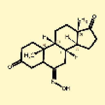 C[C@]12CCC(=O)CC1C(=NO)C[C@@H]1[C@H]2CC[C@]2(C)C(=O)CC[C@@H]12